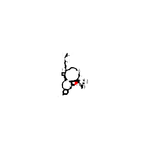 CN1CC/C=C/[C@H](OCCNCC(F)(F)CO)[C@@H]2CC[C@H]2CN2CCCCc3cc(Cl)ccc3COc3ccc(cc32)C(O)(C(=O)NS(=O)(=O)N(C)C)CC1=O